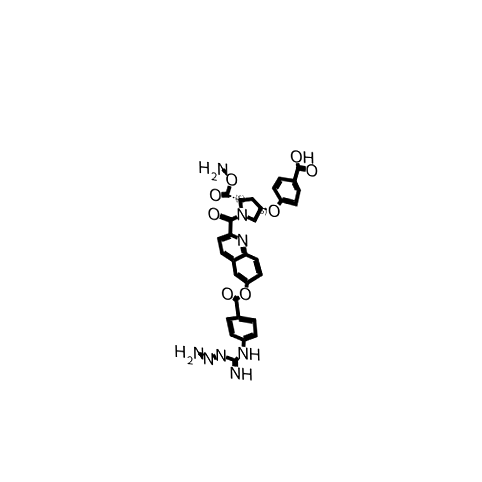 N=C(N=NN)Nc1ccc(C(=O)Oc2ccc3nc(C(=O)N4C[C@@H](Oc5ccc(C(=O)O)cc5)C[C@H]4C(=O)ON)ccc3c2)cc1